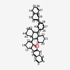 C1=CC2=CC3=C(CC2C=C1)OC1C3CCCC1C1C2CCCCC2C(c2cccc(C3=CCC4CCC=CC4=C3)c2)C2CCCCC21